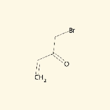 C=CC(=O)CBr